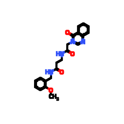 COc1ccccc1CNC(=O)CCNC(=O)Cn1cnc2ccccc2c1=O